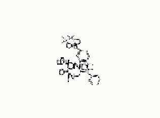 CN(CCC(Oc1ccc(B2OC(C)(C)C(C)(C)O2)cc1C#N)c1ccccc1)C(=O)OC(C)(C)C